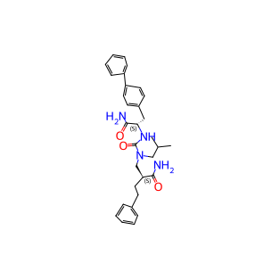 CC(C)CN(C[C@H](CCc1ccccc1)C(N)=O)C(=O)N[C@@H](Cc1ccc(-c2ccccc2)cc1)C(N)=O